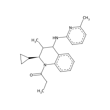 CCC(=O)N1c2ccccc2C(Nc2cccc(C)n2)C(C)[C@@H]1C1CC1